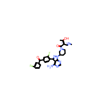 C/N=C/C(C(=O)N1CCCC(n2nc(-c3ccc(C(=O)c4cccc(F)c4)cc3F)c3c(N)ncnc32)C1)=C(/C)O